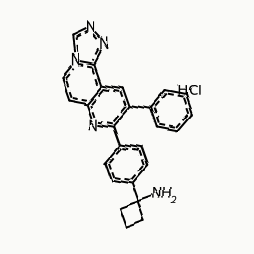 Cl.NC1(c2ccc(-c3nc4ccn5cnnc5c4cc3-c3ccccc3)cc2)CCC1